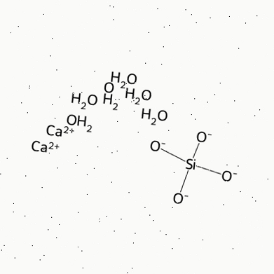 O.O.O.O.O.O.[Ca+2].[Ca+2].[O-][Si]([O-])([O-])[O-]